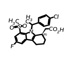 CC(c1ccc(Cl)cc1)n1c2c(c3cc(F)cc(S(C)(=O)=O)c31)CCC[C@@H]2CC(=O)O